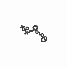 CN(C/C=C/c1ccccc1OCCOC1CCCCO1)C(=O)OC(C)(C)C